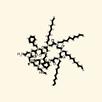 CCCCCCCCCCN(CC(N)=O)C(=O)CN(CCCCCCCCCC)C(=O)CN(CCCCCCCCCC)C(=O)CN(CCCCCCCCCC)C(=O)CN(CCc1ccccc1)C(=O)CN(CCc1ccccc1)C(=O)CN(CCN)C(=O)CN(C)CCN(CCNC)CCNC